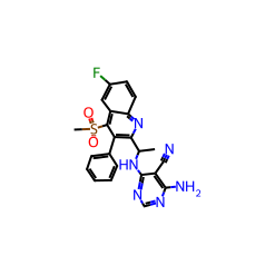 CC(Nc1ncnc(N)c1C#N)c1nc2ccc(F)cc2c(S(C)(=O)=O)c1-c1ccccc1